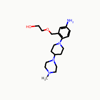 CN1CCN(C2CCN(c3ccc(N)cc3COCCO)CC2)CC1